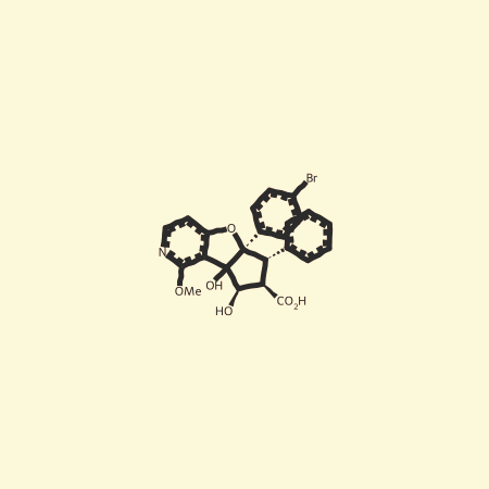 COc1nccc2c1C1(O)[C@H](O)[C@H](C(=O)O)[C@@H](c3ccccc3)[C@]1(c1ccc(Br)cc1)O2